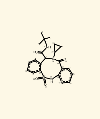 CC(C)(C)NC(=O)C1c2ccccc2S(=O)(=O)Nc2ncccc2C(=O)N1C1CC1